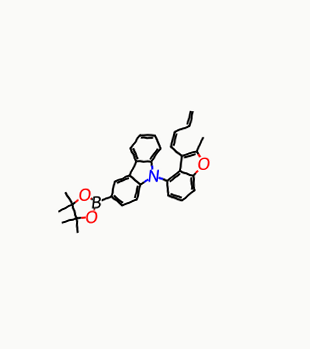 C=C/C=C\c1c(C)oc2cccc(-n3c4ccccc4c4cc(B5OC(C)(C)C(C)(C)O5)ccc43)c12